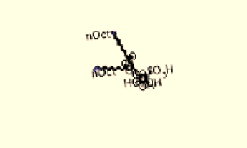 CCCCCCCC/C=C\CCCCCCCC(=O)OCC(CO[C@H]1O[C@H](CS(=O)(=O)O)[C@@H](O)[C@H](O)[C@H]1O)OC(=O)CCCCCCC/C=C\CCCCCCCC